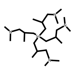 CC(CN(C)C)[CH2][Sn]([CH2]C(C)CN(C)C)([CH2]C(C)CN(C)C)[CH2]C(C)CN(C)C